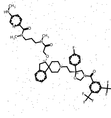 CNc1ccc(C(=O)N(C)CCCN(C)C(=O)CO[C@H]2Cc3ccccc3C23CCN(CC[C@@]2(c4ccc(F)cc4)CN(C(=O)c4cc(C(F)(F)F)cc(C(F)(F)F)c4)CO2)CC3)nc1